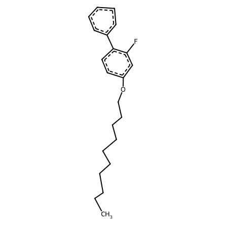 CCCCCCCCCCOc1ccc(-c2ccccc2)c(F)c1